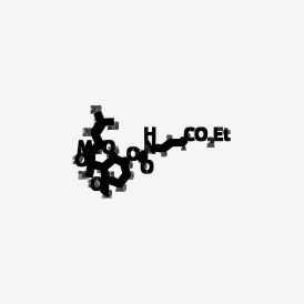 CCOC(=O)CCCNC(=O)OC1CCC2(CO2)C(C2(C)OC2CC=C(C)C)C1OC